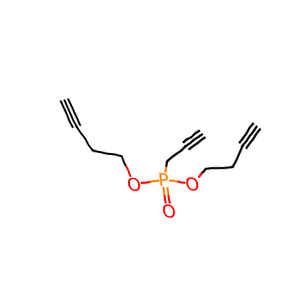 C#CCCOP(=O)(CC#C)OCCC#C